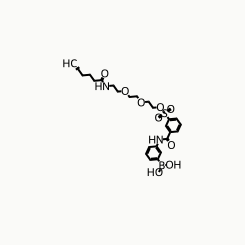 C#CCCCC(=O)NCCOCCOCCOS(=O)(=O)c1cccc(C(=O)Nc2cccc(B(O)O)c2)c1